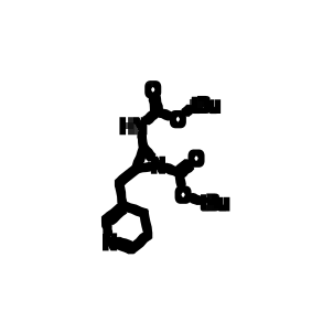 CC(C)(C)OC(=O)NC1C(CC2=CN=CCC2)N1C(=O)OC(C)(C)C